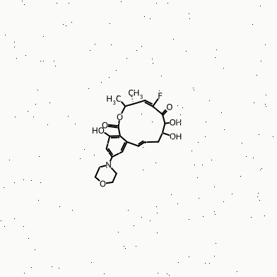 CC1OC(=O)c2c(O)cc(N3CCOCC3)cc2/C=C/CC(O)C(O)C(=O)/C(F)=C\[C@H]1C